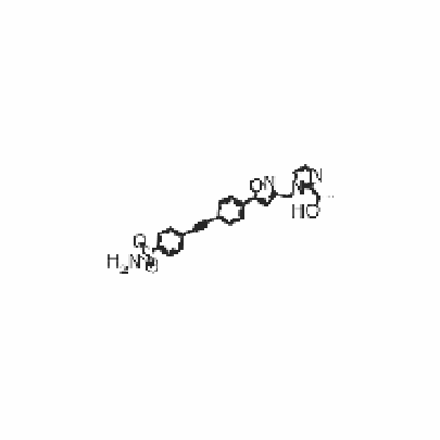 C[C@H](O)c1nccn1Cc1cc(-c2ccc(C#Cc3ccc(S(N)(=O)=O)cc3)cc2)on1